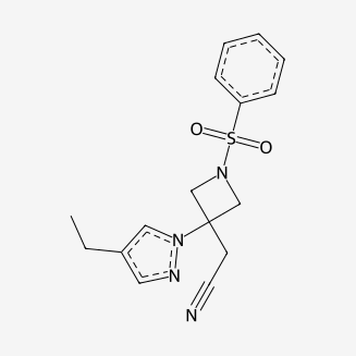 CCc1cnn(C2(CC#N)CN(S(=O)(=O)c3ccccc3)C2)c1